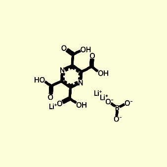 O=C(O)c1nc(C(=O)O)c(C(=O)O)nc1C(=O)O.[Li+].[Li+].[Li+].[O-]B([O-])[O-]